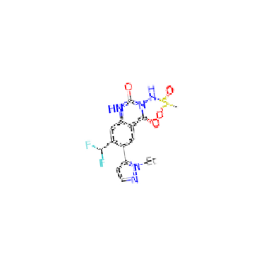 CCn1nccc1-c1cc2c(=O)n(NS(C)(=O)=O)c(=O)[nH]c2cc1C(F)F